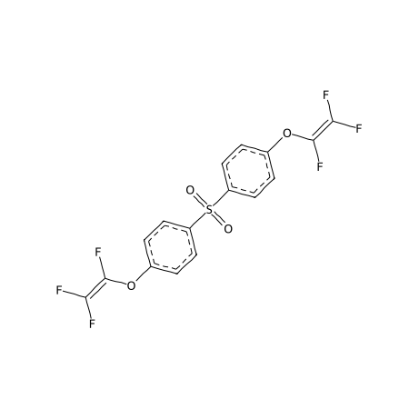 O=S(=O)(c1ccc(OC(F)=C(F)F)cc1)c1ccc(OC(F)=C(F)F)cc1